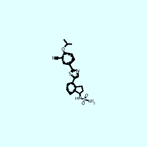 CC(C)Oc1ccc(-c2ncc(-c3cccc4c3CCC4NS(N)(=O)=O)s2)cc1C#N